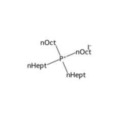 CCCCCCCC[P+](CCCCCCC)(CCCCCCC)CCCCCCCC.[I-]